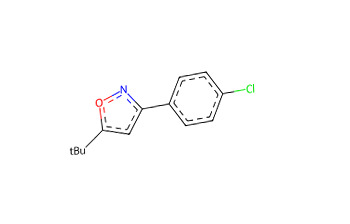 CC(C)(C)c1cc(-c2ccc(Cl)cc2)no1